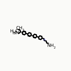 CC(C)CC(C=N)[C@@H]1C=CC(C2C=CC([C@@H]3C=CC(C4CCC(/C=C/CCCN)CC4)CC3)CC2)CC1